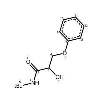 CC(C)(C)NC(=O)C(O)COc1ccccc1